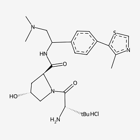 Cc1ncsc1-c1ccc(C(CN(C)C)NC(=O)[C@@H]2C[C@@H](O)CN2C(=O)[C@@H](N)C(C)(C)C)cc1.Cl